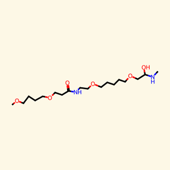 CNC(O)COCCCCCOCCNC(=O)CCOCCCCOC